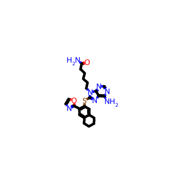 NC(=O)CCCCCn1c(Sc2cc3c(cc2-c2ncco2)CCCC3)nc2c(N)ncnc21